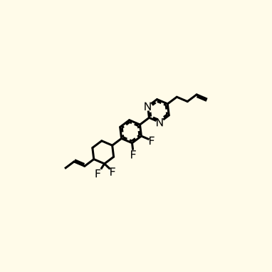 C=CCCc1cnc(-c2ccc(C3CCC(/C=C/C)C(F)(F)C3)c(F)c2F)nc1